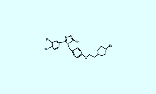 CCN1CCN(CCOc2ccc(Cn3c(S)nnc3-c3ccc(O)c(C(C)C)c3)cc2)CC1